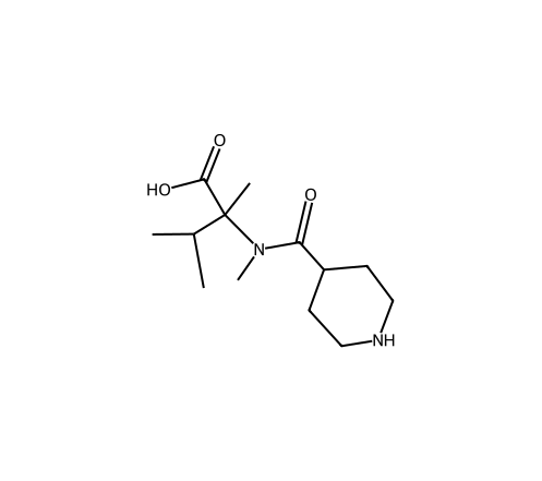 CC(C)C(C)(C(=O)O)N(C)C(=O)C1CCNCC1